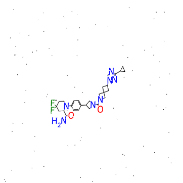 NC(=O)C1CC(F)(F)CCN1c1ccc(C2CN(C(=O)N3CC4(CC(n5cnc(C6CC6)n5)C4)C3)C2)cc1